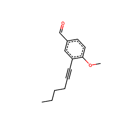 CCCCC#Cc1cc(C=O)ccc1OC